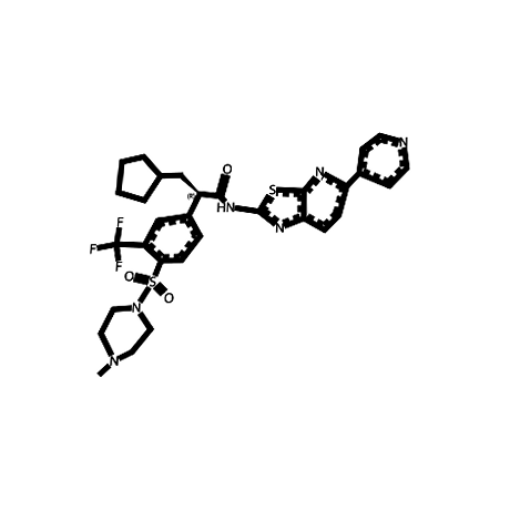 CN1CCN(S(=O)(=O)c2ccc([C@@H](CC3CCCC3)C(=O)Nc3nc4ccc(-c5ccncc5)nc4s3)cc2C(F)(F)F)CC1